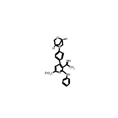 CCOC(=O)c1cc(-c2ccc(N3C[C@@H]4C[C@H]3CO4)cc2)c(C(C)=N)c(Nc2ccccc2)n1